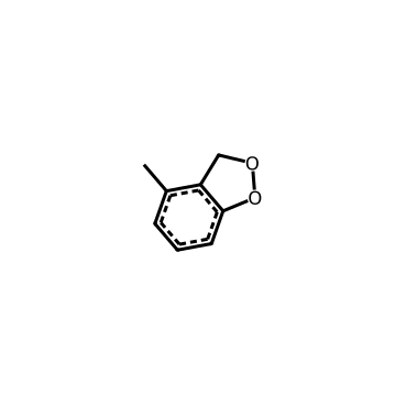 Cc1cccc2c1COO2